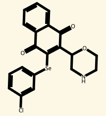 O=C1C([Se]c2cccc(Cl)c2)=C(C2CNCCO2)C(=O)c2ccccc21